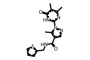 Cc1nc(-n2ncc(C(=O)NCc3cccs3)c2C)[nH]c(=O)c1C